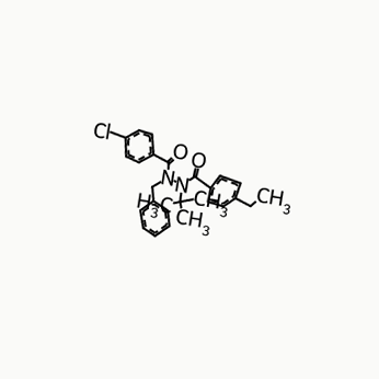 CCc1ccc(C(=O)N(N(Cc2ccccc2)C(=O)c2ccc(Cl)cc2)C(C)(C)C)cc1